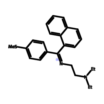 CCN(CC)CC/N=C(/c1ccc(SC)cc1)c1cccc2ccccc12